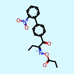 CCC(=O)O/N=C(/CC)C(=O)c1ccc(-c2ccccc2[N+](=O)[O-])cc1